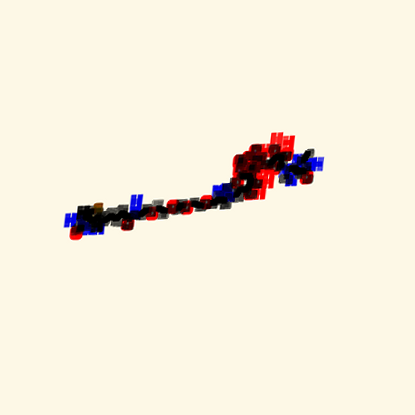 Cc1nc2c(ncn2[C@@H]2O[C@H](COP(=O)(O)OP(=O)(O)O[C@H]3OC(Cn4cc(COCCOCCOCCOCCNC(=O)CCCC[C@@H]5SC[C@@H]6NC(=O)N[C@@H]65)nn4)[C@@H](O)[C@H](O)C3O)C(O)[C@@H]2O)c(=O)[nH]1